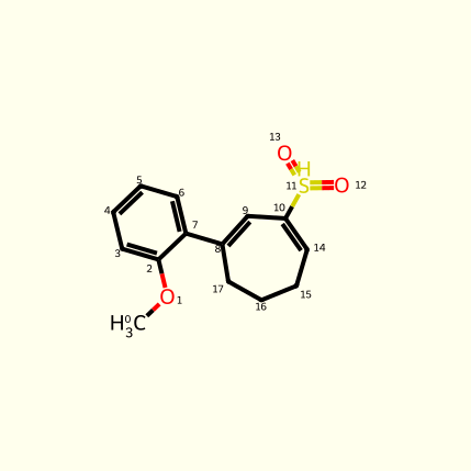 COc1ccccc1C1=CC([SH](=O)=O)=CCCC1